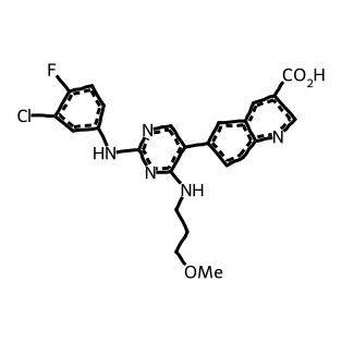 COCCCNc1nc(Nc2ccc(F)c(Cl)c2)ncc1-c1ccc2ncc(C(=O)O)cc2c1